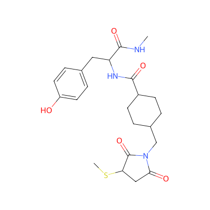 CNC(=O)C(Cc1ccc(O)cc1)NC(=O)C1CCC(CN2C(=O)CC(SC)C2=O)CC1